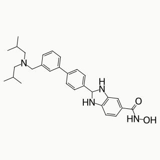 CC(C)CN(Cc1cccc(-c2ccc(C3Nc4ccc(C(=O)NO)cc4N3)cc2)c1)CC(C)C